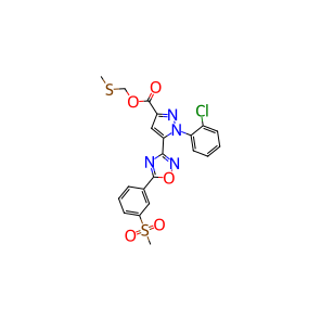 CSCOC(=O)c1cc(-c2noc(-c3cccc(S(C)(=O)=O)c3)n2)n(-c2ccccc2Cl)n1